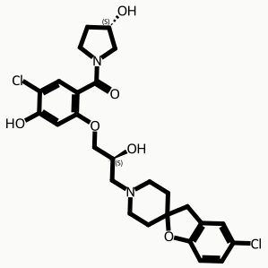 O=C(c1cc(Cl)c(O)cc1OC[C@@H](O)CN1CCC2(CC1)Cc1cc(Cl)ccc1O2)N1CC[C@H](O)C1